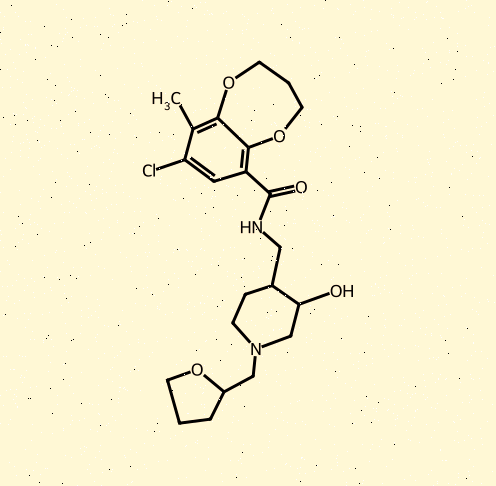 Cc1c(Cl)cc(C(=O)NCC2CCN(CC3CCCO3)CC2O)c2c1OCCCO2